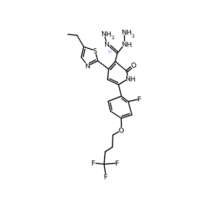 CCc1cnc(-c2cc(-c3ccc(OCCCC(F)(F)F)cc3F)[nH]c(=O)c2/C(=N/N)NN)s1